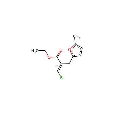 CCOC(=O)/C(=C/Br)Cc1ccc(C)o1